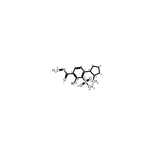 C=NC(=O)c1ccc(C2CCCC2C)c(S(C)(=O)=O)c1Br